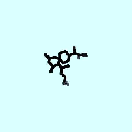 CCOC(=O)C1C(=O)CC(=O)CC12CCC(C(=O)NC)CC2